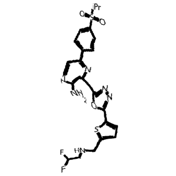 CC(C)S(=O)(=O)c1ccc(-c2cnc(N)c(-c3nnc(-c4ccc(CNCC(F)F)s4)o3)n2)cc1